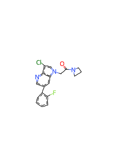 O=C(Cn1cc(Cl)c2ncc(-c3ccccc3F)cc21)N1CCC1